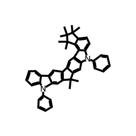 CC1(C)c2cc3c(cc2-c2cc4c5c6c(ccc5n(-c5ccccc5)c4cc21)C(C)(C)C(C)(C)C6(C)C)c1ccccc1n3-c1ccccc1